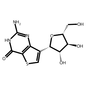 Nc1nc2c([C@@H]3O[C@H](CO)[C@@H](O)[C@@H]3O)csc2c(=O)[nH]1